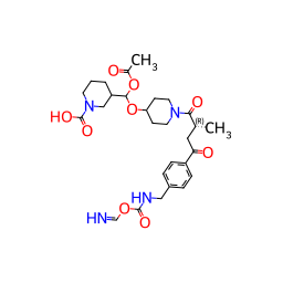 CC(=O)OC(OC1CCN(C(=O)[C@H](C)CC(=O)c2ccc(CNC(=O)OC=N)cc2)CC1)C1CCCN(C(=O)O)C1